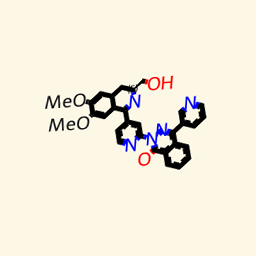 COC1=CC2C[C@@H](CO)N=C(c3ccnc(-n4nc(-c5cccnc5)c5ccccc5c4=O)c3)C2C=C1OC